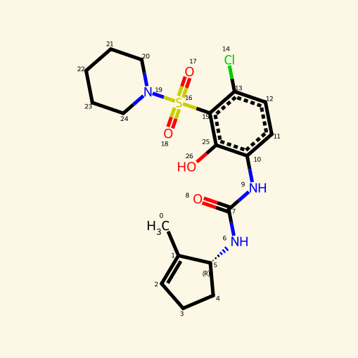 CC1=CCC[C@H]1NC(=O)Nc1ccc(Cl)c(S(=O)(=O)N2CCCCC2)c1O